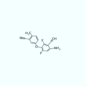 C#Cc1c(N)cc(F)c(Oc2ccc(C)c(C#N)c2)c1F